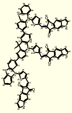 CC1(C)c2cc(-c3ccc4c(c3)N(c3ccc(/C=C5\C(=O)c6cc7ccsc7cc6C5=O)s3)c3ccccc3S4)ccc2N(c2ccc(/C=C3\C(=O)c4cc5ccsc5cc4C3=O)s2)c2ncc(-c3ccc4c(c3)N(c3ccc(/C=C5\C(=O)c6cc7ccsc7cc6C5=O)s3)c3ccccc3S4)cc21